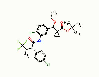 CCOC(c1ccc(Cl)c(NC(=O)[C@H](c2ccc(Cl)cc2)[C@@H](C)C(F)(F)F)c1)C1(C(=O)OC(C)(C)C)CC1